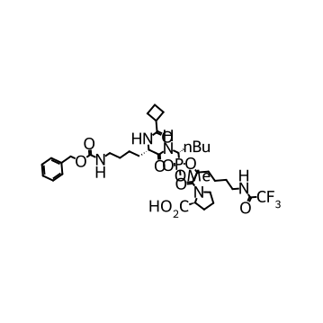 CCCC[C@@H](NC(=O)[C@H](CCCCNC(=O)OCc1ccccc1)NC(=O)C1CCC1)P(=O)(OC)OC(CCCCNC(=O)C(F)(F)F)C(=O)N1CCC[C@H]1C(=O)O